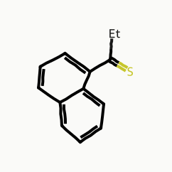 CCC(=S)c1cccc2ccccc12